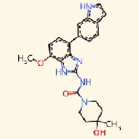 COc1ccc(-c2ccc3cc[nH]c3c2)c2nc(NC(=O)N3CCC(C)(O)CC3)[nH]c12